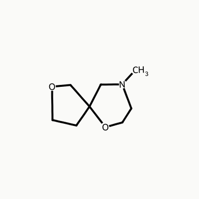 CN1CCOC2(CCOC2)C1